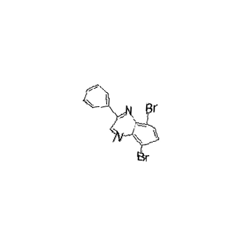 Brc1ccc(Br)c2nc(-c3ccccc3)cnc12